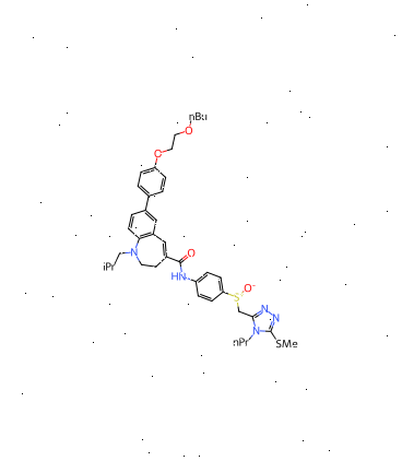 CCCCOCCOc1ccc(-c2ccc3c(c2)C=C(C(=O)Nc2ccc([S+]([O-])Cc4nnc(SC)n4CCC)cc2)CCN3CC(C)C)cc1